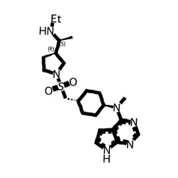 CCN[C@@H](C)[C@@H]1CCN(S(=O)(=O)C[C@H]2CC[C@H](N(C)c3ncnc4[nH]ccc34)CC2)C1